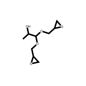 CC(O)C(OCC1CO1)OCC1CO1